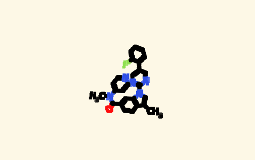 Cc1cn(-c2ncc(-c3ccccc3F)cn2)c2cc(C(=O)N(C)c3ccncc3)ccc12